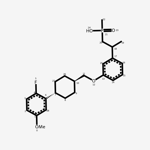 COc1ccc(F)c([C@H]2CC[C@H](COc3cccc(C(C)CP(C)(=O)O)c3)CC2)c1